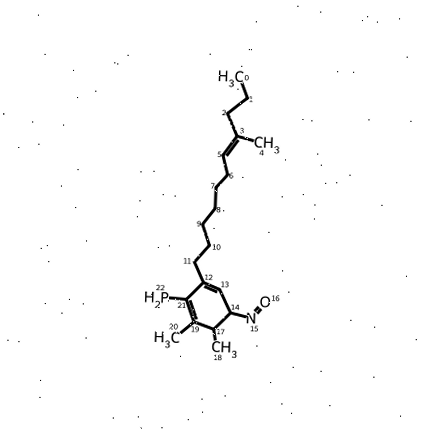 CCC/C(C)=C/CCCCCCC1=CC(N=O)C(C)C(C)=C1P